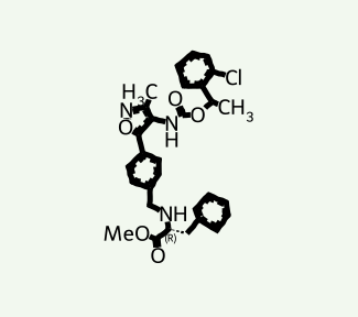 COC(=O)[C@@H](Cc1ccccc1)NCc1ccc(-c2onc(C)c2NC(=O)OC(C)c2ccccc2Cl)cc1